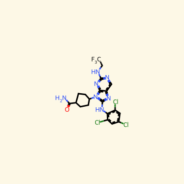 NC(=O)C1CCC(n2c(Nc3c(Cl)cc(Cl)cc3Cl)nc3cnc(NCC(F)(F)F)nc32)CC1